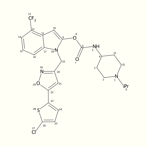 CC(C)N1CCC(NC(=O)Oc2cc3c(C(F)(F)F)cccc3n2Cc2cc(-c3ccc(Cl)s3)on2)CC1